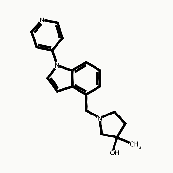 CC1(O)CCN(Cc2cccc3c2ccn3-c2ccncc2)C1